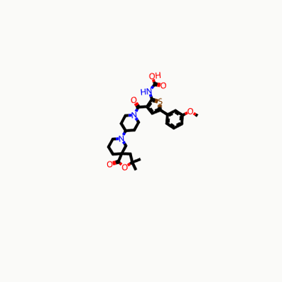 COc1cccc(-c2cc(C(=O)N3CCC(N4CCCC5(C4)CC(C)(C)OC5=O)CC3)c(NC(=O)O)s2)c1